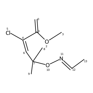 C=C(OC)/C(Cl)=C\C(C)(C)O/N=C/C